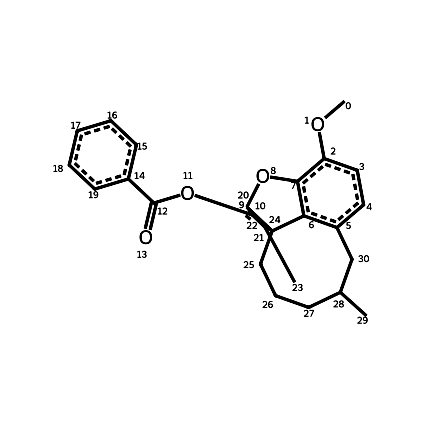 COc1ccc2c3c1OC1C(OC(=O)c4ccccc4)=CCC(C)C31CCCC(C)C2